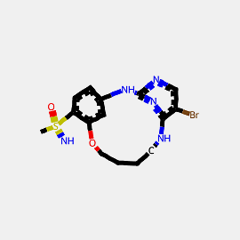 CS(=N)(=O)c1ccc2cc1OCCCCNc1nc(ncc1Br)N2